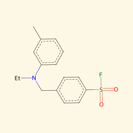 CCN(Cc1ccc(S(=O)(=O)F)cc1)c1cccc(C)c1